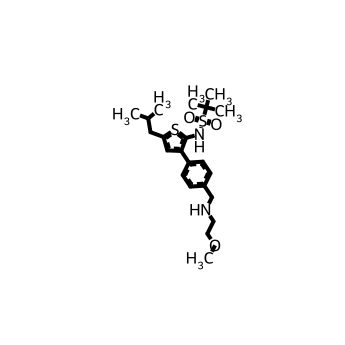 COCCNCc1ccc(-c2cc(CC(C)C)sc2NS(=O)(=O)C(C)(C)C)cc1